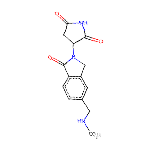 O=C(O)NCc1ccc2c(c1)CN(C1CC(=O)NC1=O)C2=O